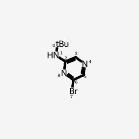 CC(C)(C)Nc1cncc(Br)n1